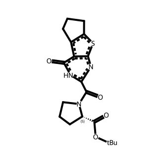 CC(C)(C)OC(=O)[C@@H]1CCCN1C(=O)c1nc2sc3c(c2c(=O)[nH]1)CCC3